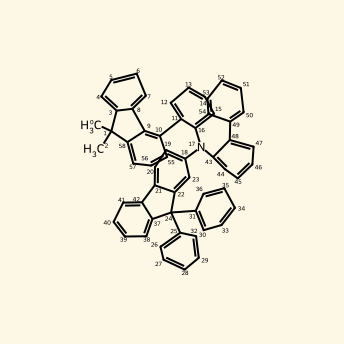 CC1(C)c2ccccc2-c2c(-c3ccccc3N(c3ccc4c(c3)C(c3ccccc3)(c3ccccc3)c3ccccc3-4)c3ccccc3-c3ccccc3)cccc21